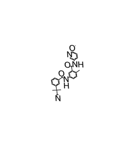 COc1ccc(NC(=O)c2cc(NC(=O)c3cccc(C(C)(C)C#N)c3)ccc2C)cn1